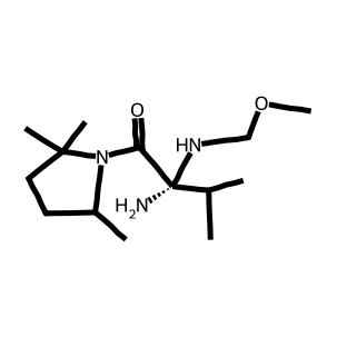 COCN[C@](N)(C(=O)N1C(C)CCC1(C)C)C(C)C